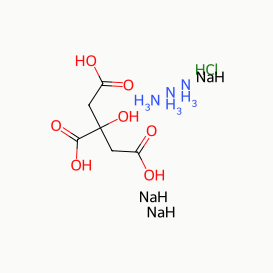 Cl.N.N.N.O=C(O)CC(O)(CC(=O)O)C(=O)O.[NaH].[NaH].[NaH]